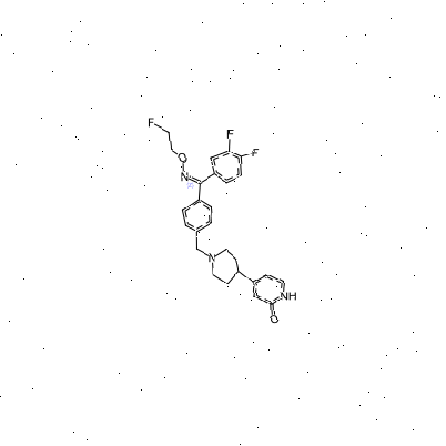 O=c1cc(C2CCN(Cc3ccc(/C(=N/OCCF)c4ccc(F)c(F)c4)cc3)CC2)cc[nH]1